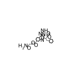 NC(=O)CCOC(=O)c1ccc2c(c1)nc(C(Cc1ccccc1)C1=COCO1)n1nc(N)nc21